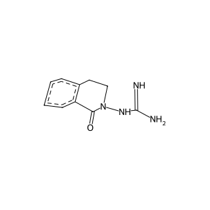 N=C(N)NN1CCc2ccccc2C1=O